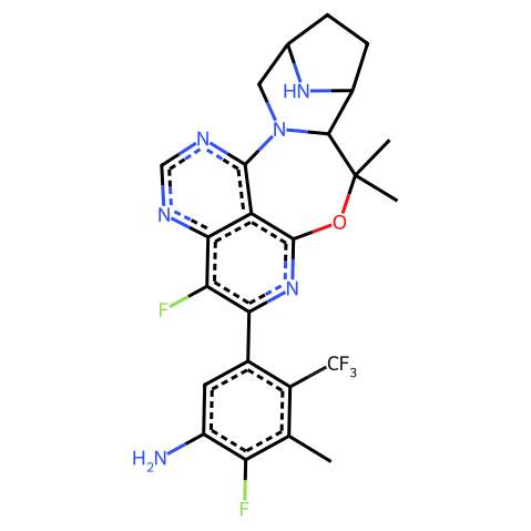 Cc1c(F)c(N)cc(-c2nc3c4c(ncnc4c2F)N2CC4CCC(N4)C2C(C)(C)O3)c1C(F)(F)F